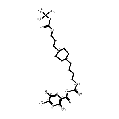 CC(C)(C)OC(=O)NCCCN1CCC(CCCCNC(=N)NC(=O)c2nc(Cl)c(N)nc2N)CC1